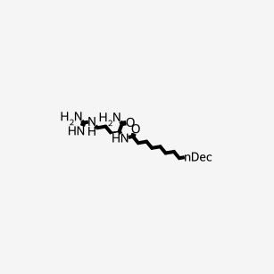 CCCCCCCCCCCCCCCCCC(=O)N[C@@H](CCCNC(=N)N)C(N)=O